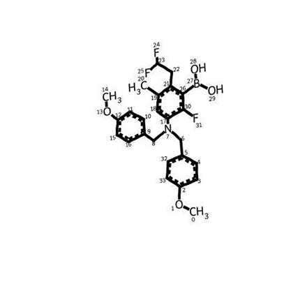 COc1ccc(CN(Cc2ccc(OC)cc2)c2cc(C)c(CC(F)F)c(B(O)O)c2F)cc1